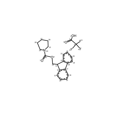 O=C(O)C(F)(F)F.O=C(OCC1c2ccccc2-c2ccccc21)N1CCCCC1